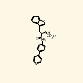 O=C(O)N[C@H](Cc1csc2ccccc12)C(=O)Nc1ccc(-c2ccncc2)cc1